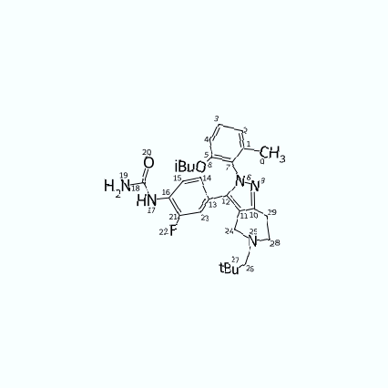 Cc1cccc(OCC(C)C)c1-n1nc2c(c1-c1ccc(NC(N)=O)c(F)c1)CN(CC(C)(C)C)CC2